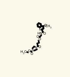 CCOC(=O)N1CCN(C(=O)CCCOC(=O)CNC(=O)c2cc(OC)c3ccccc3n2)CC1